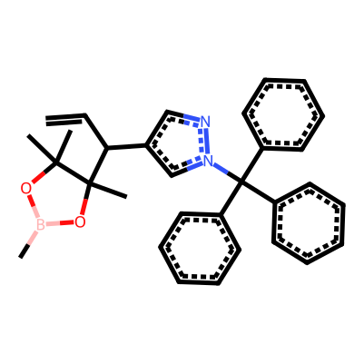 C=CC(c1cnn(C(c2ccccc2)(c2ccccc2)c2ccccc2)c1)C1(C)OB(C)OC1(C)C